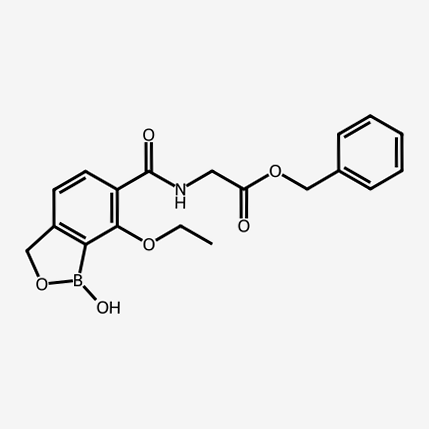 CCOc1c(C(=O)NCC(=O)OCc2ccccc2)ccc2c1B(O)OC2